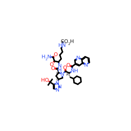 CC(C)(O)c1cnnn1[C@H]1C[C@@H](C(=O)NC(CCCCNC(=O)O)C(=O)C(N)=O)N(C(=O)[C@@H](CC2CCCCC2)NC(=O)c2cnc3cccnc3c2)C1